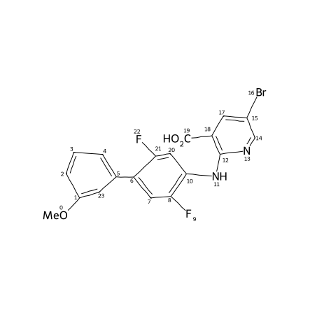 COc1cccc(-c2cc(F)c(Nc3ncc(Br)cc3C(=O)O)cc2F)c1